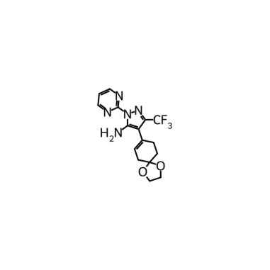 Nc1c(C2=CCC3(CC2)OCCO3)c(C(F)(F)F)nn1-c1ncccn1